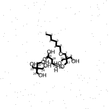 CCCCCCOCC(CO)(CO)CO.O=C(O)CCS.OCC(CO)(CO)CO